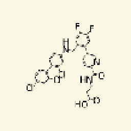 O=C(O)CCNC(=O)c1ccc(-c2cc(F)c(F)cc2CNc2ccc(-c3ccc(Cl)cc3Cl)c(Cl)c2)cn1